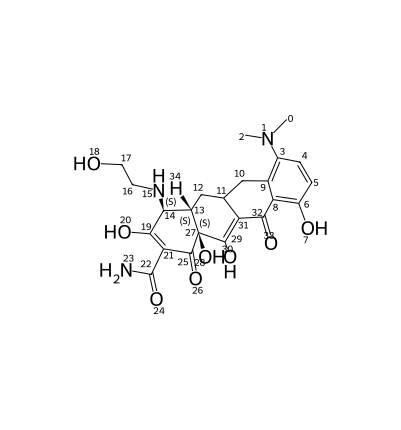 CN(C)c1ccc(O)c2c1CC1C[C@H]3[C@H](NCCO)C(O)=C(C(N)=O)C(=O)[C@@]3(O)C(O)=C1C2=O